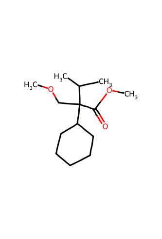 COCC(C(=O)OC)(C(C)C)C1CCCCC1